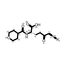 [N-]=[N+]=CC(=O)CC[C@H](NC(=O)C1CCOCC1)C(=O)O